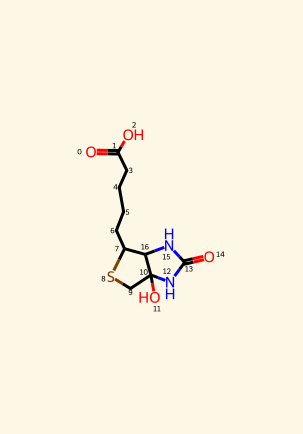 O=C(O)CCCCC1SCC2(O)NC(=O)NC12